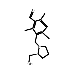 Cc1cc(C)c(CN2CCC[C@H]2CO)c(C)c1C=O